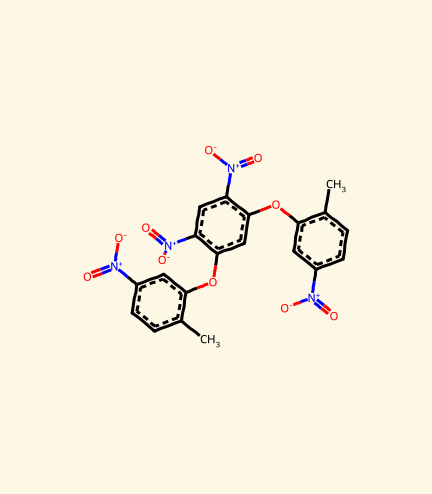 Cc1ccc([N+](=O)[O-])cc1Oc1cc(Oc2cc([N+](=O)[O-])ccc2C)c([N+](=O)[O-])cc1[N+](=O)[O-]